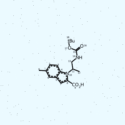 Cc1ccc2c(c1)cc(C(=O)O)n2C(C)CNC(=O)OC(C)(C)C